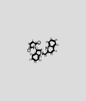 O=C1C=CC(=O)N1c1cn(Cc2ccc3ccccc3n2)c2ccccc12